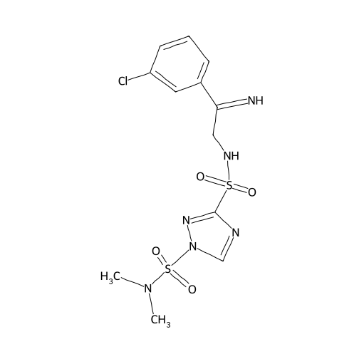 CN(C)S(=O)(=O)n1cnc(S(=O)(=O)NCC(=N)c2cccc(Cl)c2)n1